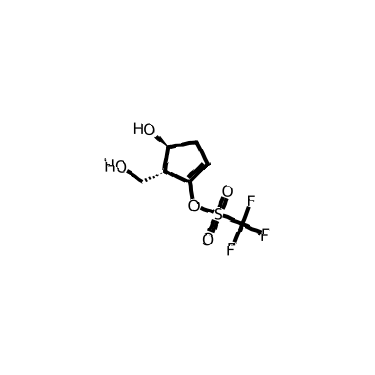 O=S(=O)(OC1=CC[C@H](O)[C@H]1CO)C(F)(F)F